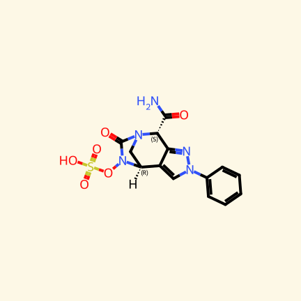 NC(=O)[C@@H]1c2nn(-c3ccccc3)cc2[C@@H]2CN1C(=O)N2OS(=O)(=O)O